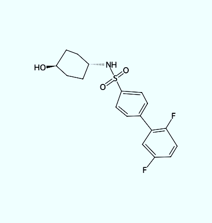 O=S(=O)(N[C@H]1CC[C@H](O)CC1)c1ccc(-c2cc(F)ccc2F)cc1